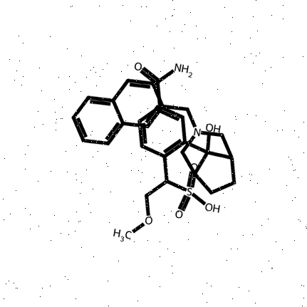 COCC(c1ccc(C(N)=O)cc1C1(O)C2CCC1CN(Cc1ccc3ccccc3c1)C2)S(=O)(=O)O